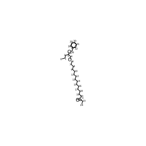 CCCC(COCCCCCCCCCCCCCCC[S+]([O-])CC)OCc1ccccc1